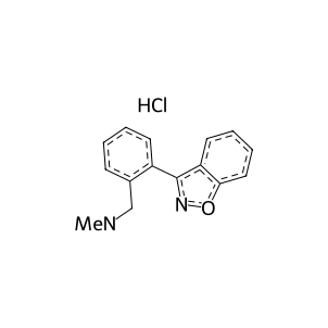 CNCc1ccccc1-c1noc2ccccc12.Cl